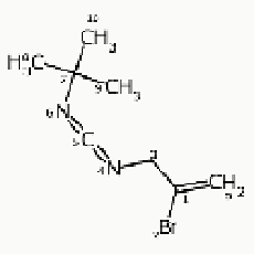 C=C(Br)CN=C=NC(C)(C)C